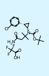 CC(C)(C)OC(=O)N([C@@H]1C[C@H]1c1cccc(Cl)c1)C(C)(C)CC(N)=O.O=C(O)C(F)(F)F